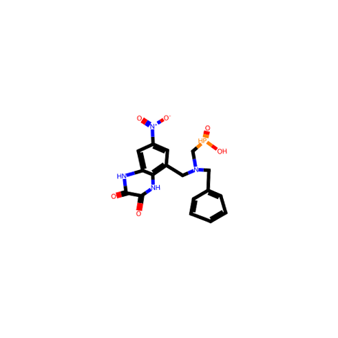 O=c1[nH]c2cc([N+](=O)[O-])cc(CN(Cc3ccccc3)C[PH](=O)O)c2[nH]c1=O